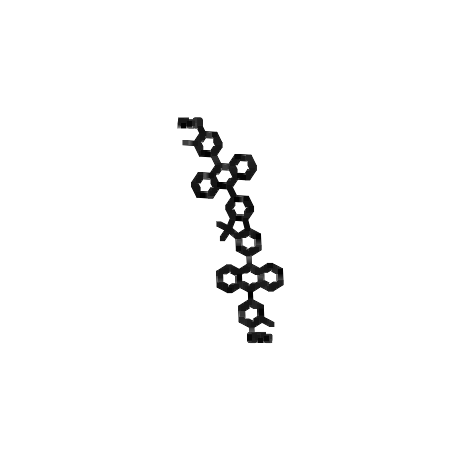 COc1ccc(-c2c3ccccc3c(-c3ccc4c(c3)C(C)(C)c3cc(-c5c6ccccc6c(-c6ccc(OC)c(C)c6)c6ccccc56)ccc3-4)c3ccccc23)cc1C